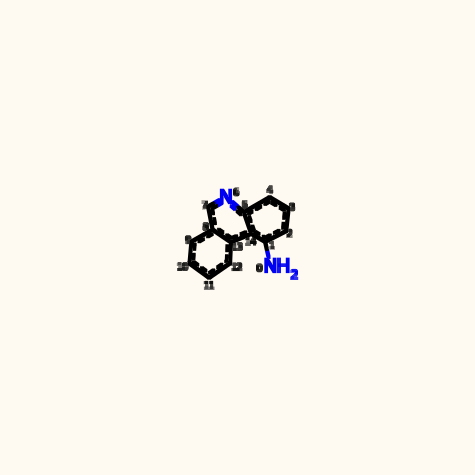 Nc1cccc2ncc3ccccc3c12